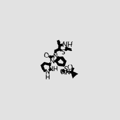 CC1NC(C)C(Cn2c(=O)n(C3CCCNN3)c3cc(S(=O)(=O)NC4(C)CC4)ccc32)S1